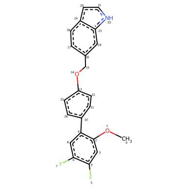 COc1cc(F)c(F)cc1-c1ccc(OCc2ccc3cc[nH]c3c2)cc1